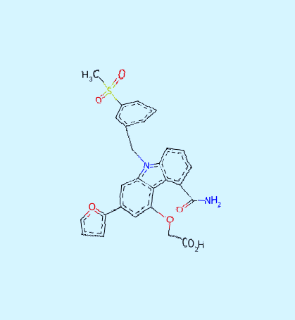 CS(=O)(=O)c1cccc(Cn2c3cc(-c4ccco4)cc(OCC(=O)O)c3c3c(C(N)=O)cccc32)c1